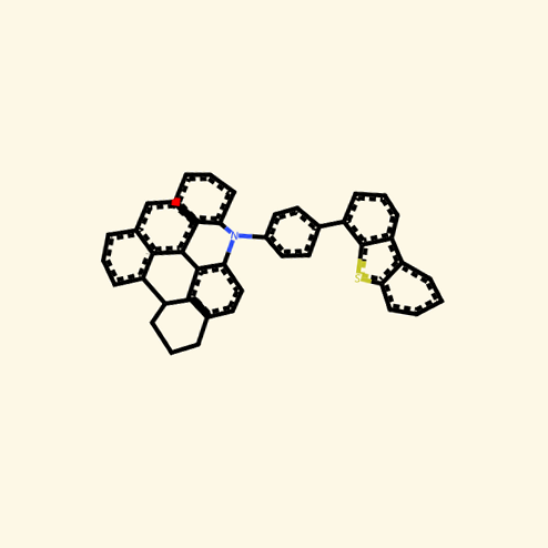 c1ccc(N(c2ccc(-c3cccc4c3sc3ccccc34)cc2)c2ccccc2-c2cccc3cccc(C4CCCCC4)c23)cc1